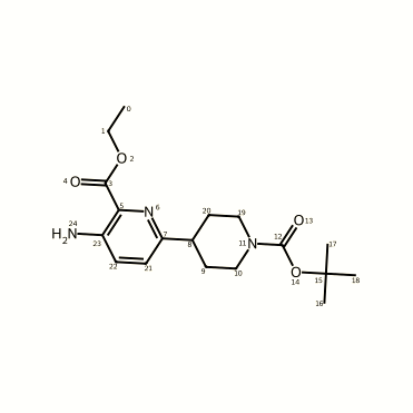 CCOC(=O)c1nc(C2CCN(C(=O)OC(C)(C)C)CC2)ccc1N